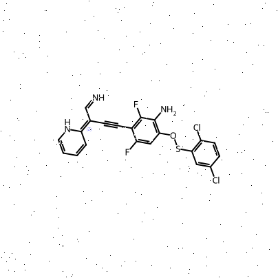 N=C/C(C#Cc1c(F)cc(OSc2cc(Cl)ccc2Cl)c(N)c1F)=C1/C=CC=CN1